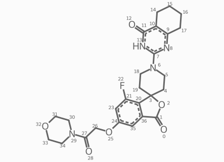 O=C1OC2(CCN(c3nc4c(c(=O)[nH]3)CCCC4)CC2)c2c(F)cc(OCC(=O)N3CCOCC3)cc21